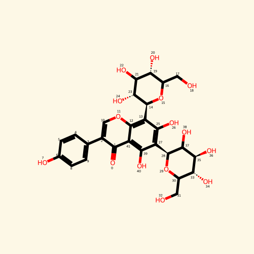 O=c1c(-c2ccc(O)cc2)coc2c([C@@H]3OC(CO)[C@@H](O)C(O)[C@H]3O)c(O)c([C@@H]3OC(CO)[C@@H](O)[C@H](O)C3O)c(O)c12